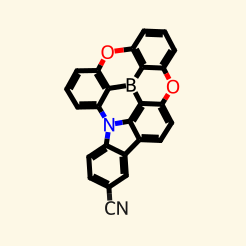 N#Cc1ccc2c(c1)c1ccc3c4c1n2-c1cccc2c1B4c1c(cccc1O3)O2